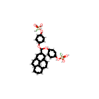 O=S(=O)(F)Oc1ccc(OC(Oc2ccc(OS(=O)(=O)F)cc2)c2cc3ccc4cccc5ccc(c2)c3c45)cc1